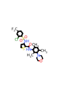 Cc1cc(C)c(N2CCOCC2)c(C)c1NC(=O)c1sccc1NS(=O)(=O)c1ccc(C(F)(F)F)cc1Cl